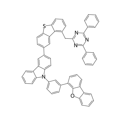 c1ccc(-c2nc(Cc3cccc4sc5ccc(-c6ccc7c(c6)c6ccccc6n7-c6cccc(-c7cccc8c7oc7ccccc78)c6)cc5c34)nc(-c3ccccc3)n2)cc1